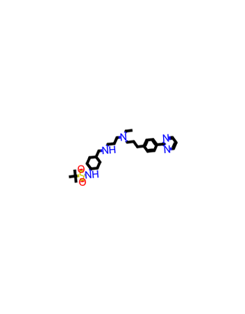 CCN(CCCNCC1CCC(NS(=O)(=O)C(C)(C)C)CC1)CCCc1ccc(-c2ncccn2)cc1